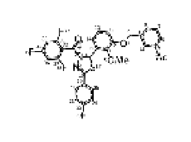 COc1c(OCc2cccc(C(C)=O)c2)cccc1C1SC(c2ccc(F)cc2)=NN1C(=O)c1c(F)cc(F)cc1F